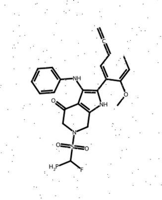 C=C=C/C=C(\C(=C/C)OC)c1[nH]c2c(c1Nc1ccccc1)C(=O)CN(S(=O)(=O)C(F)P)C2